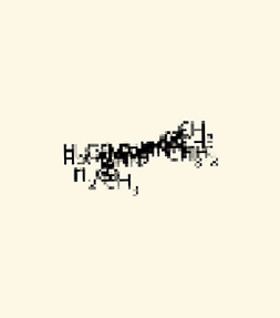 C=C[C@@H](CC)C(=O)N1C[C@@H](C(=C)OC)C[C@H]1c1nc2ccc3cc4c(cc3c2[nH]1)OCc1cc(-c2cnc([C@H](C)N(C(=O)CCC)[C@@H](C)CC)[nH]2)ccc1-4